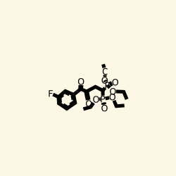 CCOP(=O)(OCC)C(CC(=O)C(=O)c1cccc(F)c1)P(=O)(OCC)OCC